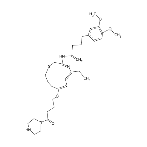 C=C(CCCc1ccc(OC)c(OC)c1)N/C1=N/C(CC)=C/C=C(/OCCCC(=O)N2CCNCC2)CCCSC1